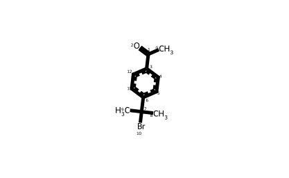 CC(=O)c1ccc(C(C)(C)Br)cc1